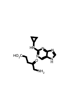 NCC(=O)CCC(=O)O.c1nc2nc(NC3CC3)ncc2[nH]1